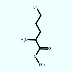 CC(C)(C)OC(=O)C(N)CCCBr